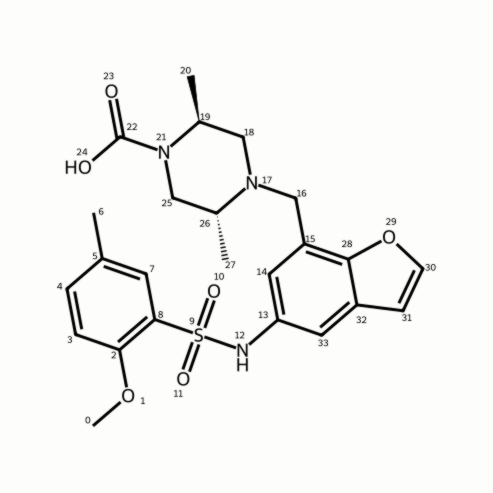 COc1ccc(C)cc1S(=O)(=O)Nc1cc(CN2C[C@H](C)N(C(=O)O)C[C@H]2C)c2occc2c1